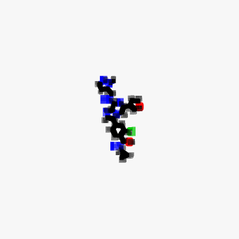 Cn1nccc1CNc1nc(-c2ccoc2)cn2c(-c3ccc(C(=O)NC4CC4)c(Cl)c3)cnc12